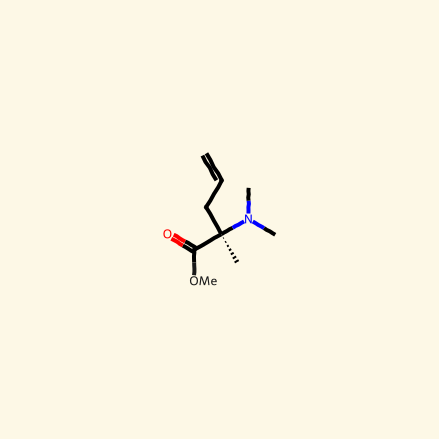 C=CC[C@](C)(C(=O)OC)N(C)C